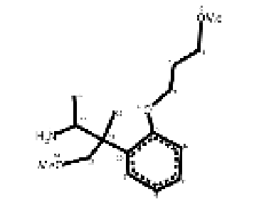 COCCCOc1ccccc1C(C)(COC)C(C)N